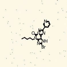 CCCCCn1c(=O)n2nc(-c3cccnc3)nc2c2[nH]c(Br)nc21